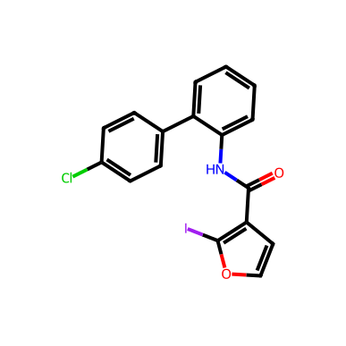 O=C(Nc1ccccc1-c1ccc(Cl)cc1)c1ccoc1I